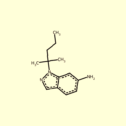 CCCC(C)(C)n1ncc2ccc(N)cc21